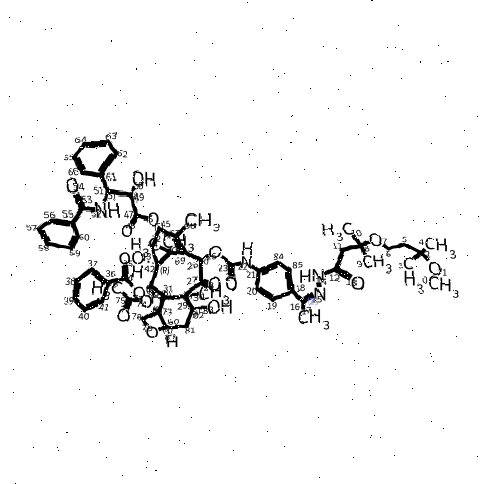 COC(C)(C)CCOC(C)(C)CC(=O)N/N=C(/C)c1ccc(NC(=O)O[C@H]2C(=O)[C@@]3(C)[C@H]([C@H](OC(=O)c4ccccc4)[C@@]4(O)C[C@H](OC(=O)[C@H](O)[C@@H](NC(=O)c5ccccc5)c5ccccc5)C(C)=C2C4(C)C)[C@]2(OC(C)=O)CO[C@@H]2C[C@@H]3O)cc1